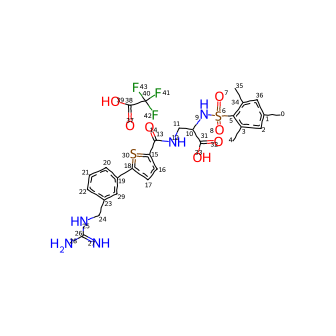 Cc1cc(C)c(S(=O)(=O)NC(CNC(=O)c2ccc(-c3cccc(CNC(=N)N)c3)s2)C(=O)O)c(C)c1.O=C(O)C(F)(F)F